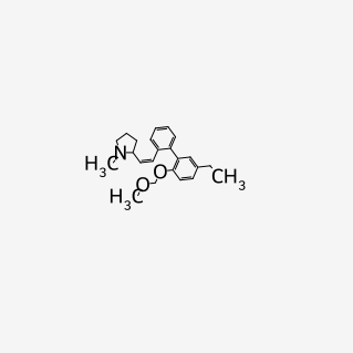 CCc1ccc(OCOC)c(-c2ccccc2C=CC2CCCN2C)c1